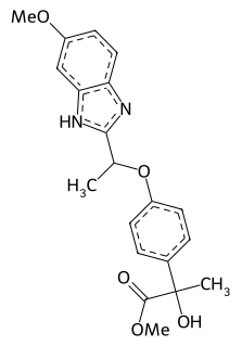 COC(=O)C(C)(O)c1ccc(OC(C)c2nc3ccc(OC)cc3[nH]2)cc1